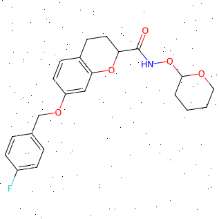 O=C(NOC1CCCCO1)C1CCc2ccc(OCc3ccc(F)cc3)cc2O1